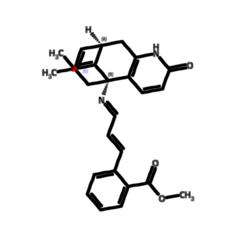 C/C=C1\[C@H]2C=C(C)C[C@]1(N=CC=Cc1ccccc1C(=O)OC)c1ccc(=O)[nH]c1C2